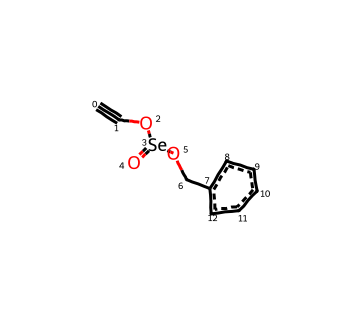 C#CO[Se](=O)OCc1ccccc1